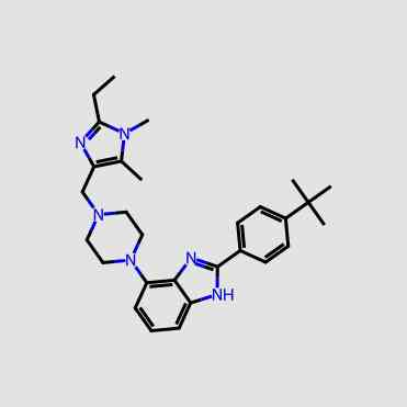 CCc1nc(CN2CCN(c3cccc4[nH]c(-c5ccc(C(C)(C)C)cc5)nc34)CC2)c(C)n1C